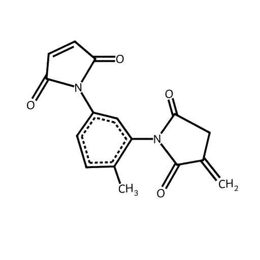 C=C1CC(=O)N(c2cc(N3C(=O)C=CC3=O)ccc2C)C1=O